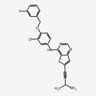 CC(N)C#Cc1cc2ncnc(Nc3ccc(OCc4cccc(F)c4)c(Cl)c3)c2s1